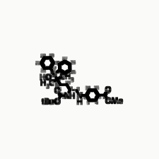 COC(=O)c1ccc(NC[C@@H](CCC(C)(C)[Si](O)(c2ccccc2)c2ccccc2)NC(=O)OC(C)(C)C)cc1